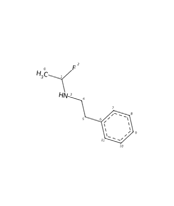 CC(F)NCCc1ccccc1